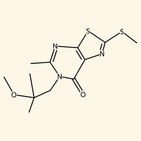 COC(C)(C)Cn1c(C)nc2sc(SC)nc2c1=O